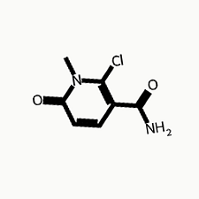 Cn1c(Cl)c(C(N)=O)ccc1=O